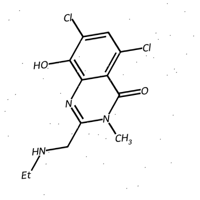 CCNCc1nc2c(O)c(Cl)cc(Cl)c2c(=O)n1C